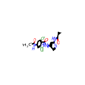 CC(=O)Nc1cc(Cl)c(C(=O)Nc2ccnc(NC(=O)C3CC3)c2)c(Cl)c1